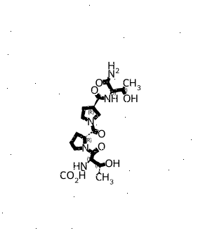 C[C@@H](O)[C@H](NC(=O)[C@@H]1CCN(C(=O)[C@H]2CCCN2C(=O)[C@@H](NC(=O)O)[C@@H](C)O)C1)C(N)=O